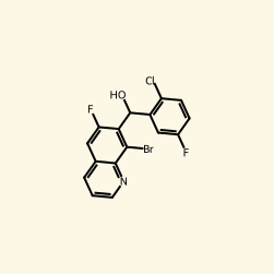 OC(c1cc(F)ccc1Cl)c1c(F)cc2cccnc2c1Br